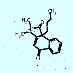 CCCCC1(C(=O)OC)C(OC)=CC(=O)c2ccccc21